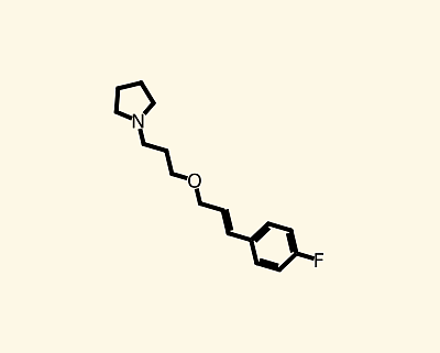 Fc1ccc(C=CCOCCCN2CCCC2)cc1